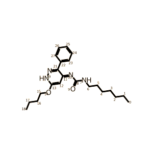 CCCCCCCNC(=O)N=c1cc(OCCCC)[nH]nc1-c1ccccc1